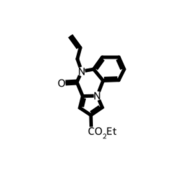 C=CCn1c(=O)c2cc(C(=O)OCC)cn2c2ccccc21